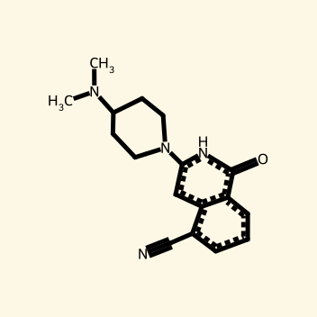 CN(C)C1CCN(c2cc3c(C#N)cccc3c(=O)[nH]2)CC1